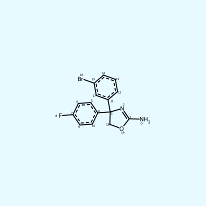 NC1=NC(c2ccc(F)cc2)(c2cccc(Br)c2)CO1